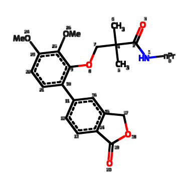 CCCNC(=O)C(C)(C)COc1c(-c2ccc3c(c2)COC3=O)ccc(OC)c1OC